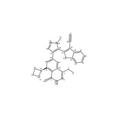 CCc1n[nH]c(=O)c2c([C@@H]3CCO3)cc(-c3cnn(C)c3-c3sc4ccccc4c3C#N)cc12